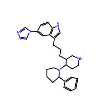 c1ccc(C2CCCCN2C2CCNCC2CCCc2c[nH]c3ccc(-n4cnnc4)cc23)cc1